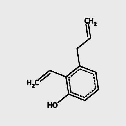 C=CCc1cccc(O)c1C=C